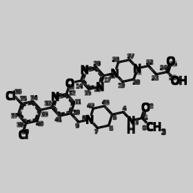 CC(=O)NCC1CCN(Cc2cc(Oc3cnc(N4CCN(CCC(=O)O)CC4)cn3)nc(-c3cc(Cl)cc(Cl)c3)c2)CC1